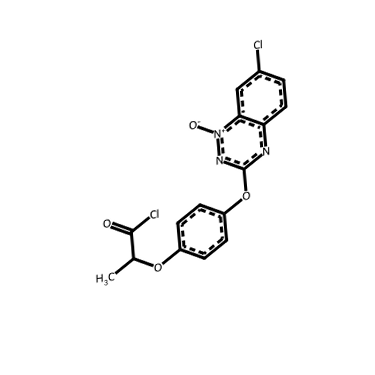 CC(Oc1ccc(Oc2nc3ccc(Cl)cc3[n+]([O-])n2)cc1)C(=O)Cl